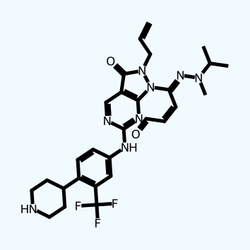 C=CCn1c(=O)c2cnc(Nc3ccc(C4CCNCC4)c(C(F)(F)F)c3)nc2n1C(/C=C\C=O)=N/N(C)C(C)C